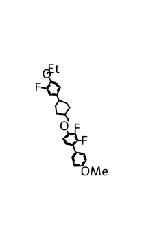 CCOc1ccc(C2CCC(COc3ccc(-c4ccc(OC)cc4)c(F)c3F)CC2)cc1F